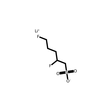 O=S(=O)([O-])CC(F)CCCF.[Li+]